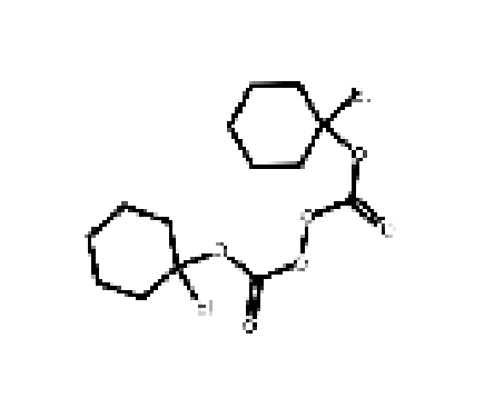 CCC1(OC(=O)OOC(=O)OC2(CC)CCCCC2)CCCCC1